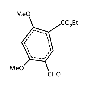 CCOC(=O)c1cc(C=O)c(OC)cc1OC